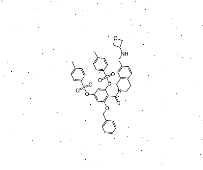 Cc1ccc(S(=O)(=O)Oc2cc(OCc3ccccc3)c(C(=O)N3CCc4ccc(CNC5COC5)cc4C3)c(OS(=O)(=O)c3ccc(C)cc3)c2)cc1